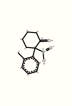 Cc1ccccc1C1([N+](=O)[O-])CCCCC1=O